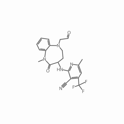 Cc1cc(C(F)(F)F)c(C#N)c(NC2CCN(CC=O)c3ccccc3N(C)C2=O)n1